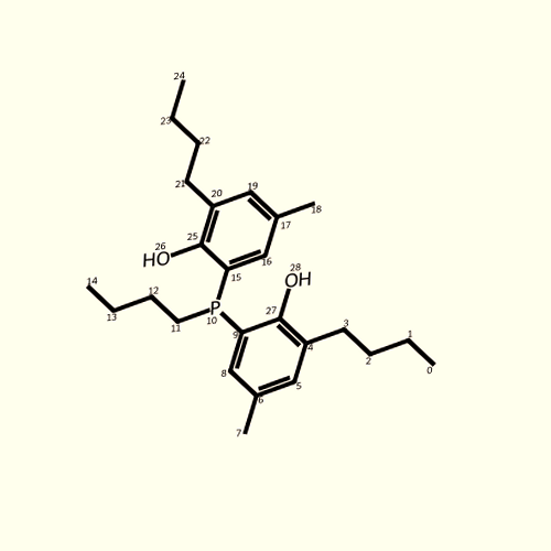 CCCCc1cc(C)cc(P(CCCC)c2cc(C)cc(CCCC)c2O)c1O